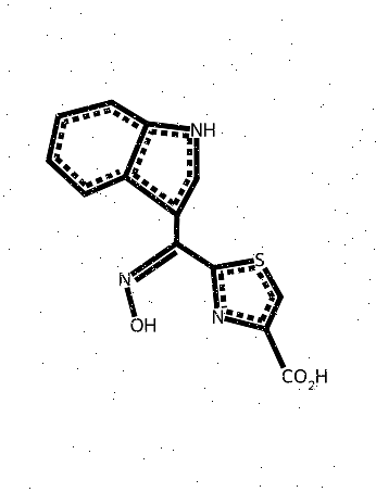 O=C(O)c1csc(C(=NO)c2c[nH]c3ccccc23)n1